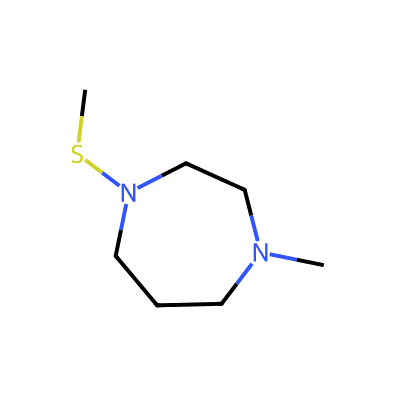 CSN1CCCN(C)CC1